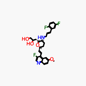 COc1ccc2ncc(F)c(C=C[C@@H]3CC[C@@H](NCC=Cc4cc(F)ccc4F)[C@@H](CC(O)CO)O3)c2c1